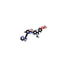 CCn1cc(-c2ccc(OCOC)cc2)c2ccc(NC(=O)c3ccc(C)c(C#Cc4cnc5cccnn45)c3)cc21